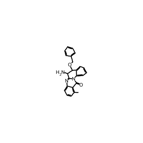 Cc1cccc2nc3n(c(=O)c12)-c1ccccc1C(OCc1ccccc1)C3N